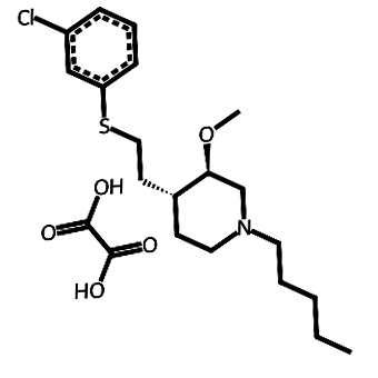 CCCCCN1CC[C@H](CCSc2cccc(Cl)c2)[C@@H](OC)C1.O=C(O)C(=O)O